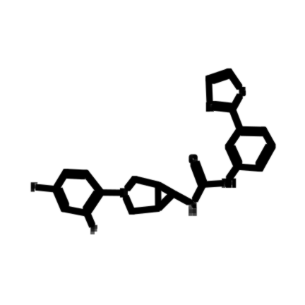 O=C(Nc1cccc(-c2nccs2)c1)NC1C2CN(c3ccc(F)cc3F)CC21